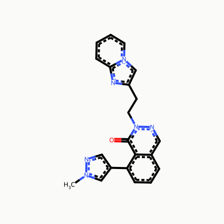 Cn1cc(-c2cccc3cnn(CCc4cn5ccccc5n4)c(=O)c23)cn1